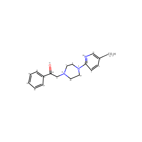 O=C(O)c1ccc(N2CCN(CC(=O)c3ccccc3)CC2)nc1